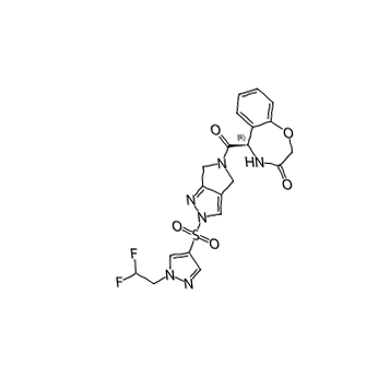 O=C1COc2ccccc2[C@H](C(=O)N2Cc3cn(S(=O)(=O)c4cnn(CC(F)F)c4)nc3C2)N1